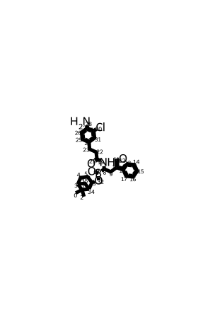 CC1(C)C2CC3OB(C(Cc4coc5ccccc45)NC(=O)CCc4ccc(N)c(Cl)c4)OC3C1C2